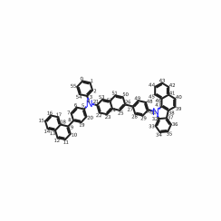 c1ccc(N(c2ccc(-c3cccc4ccccc34)cc2)c2ccc3cc(-c4ccc(-n5c6ccccc6c6ccc7ccccc7c65)cc4)ccc3c2)cc1